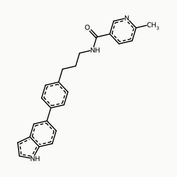 Cc1ccc(C(=O)NCCCc2ccc(-c3ccc4[nH]ccc4c3)cc2)cn1